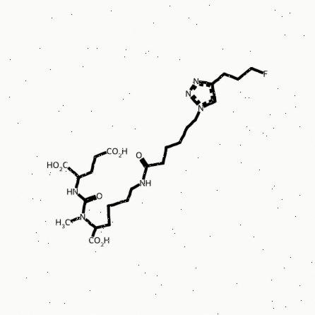 CN(C(=O)NC(CCC(=O)O)C(=O)O)C(CCCCNC(=O)CCCCCn1cc(CCCF)nn1)C(=O)O